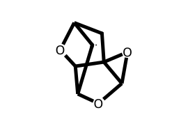 [CH]1C2CC34OC3OC1C4O2